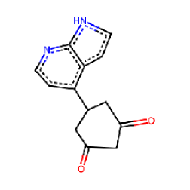 O=C1CC(=O)CC(c2ccnc3[nH]ccc23)C1